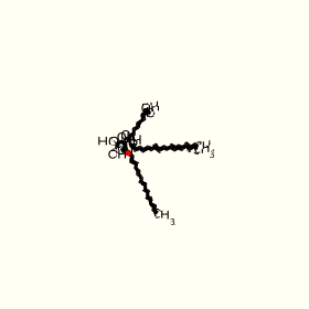 CCCCCCCCCCCCCCCCCCN(C(=O)CCCCCCCCCCCCCCCCC)[C@@H]1O[C@H](CO)[C@H](O)[C@H](O)[C@H]1NC(=O)CCCCCCC(=O)O